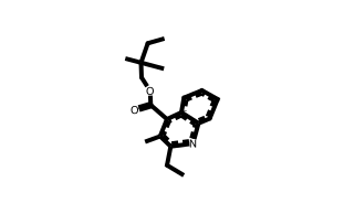 CCc1nc2ccccc2c(C(=O)OCC(C)(C)CC)c1C